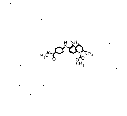 COC(=O)C1CCC(Nc2ccc3c(c2N)CC[C@H](C)N3C(=O)OC)CC1